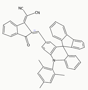 Cc1cc(C)c(N2c3ccccc3C3(c4ccccc4-c4ccccc43)c3cc(/C=C4\C(=O)c5ccccc5C4=C(C#N)C#N)ccc32)c(C)c1